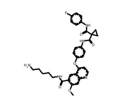 COc1cc2nccc(Oc3ccc(NC(=O)C4(C(=O)Nc5ccc(F)cc5)CC4)cc3)c2cc1C(=O)NCCCCCN